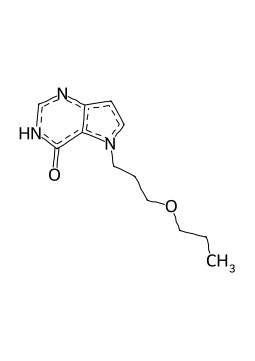 CCCOCCCn1ccc2nc[nH]c(=O)c21